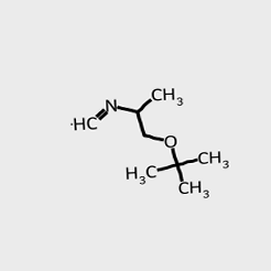 [CH]=NC(C)COC(C)(C)C